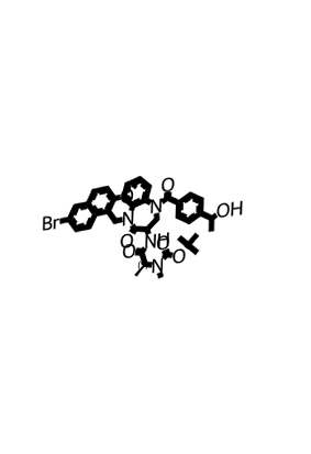 COc1ccc2cc(Br)ccc2c1CN1C(=O)C(NC(=O)[C@H](C)N(C)C(=O)OC(C)(C)C)CN(C(=O)c2ccc(C(C)O)cc2)c2ccccc21